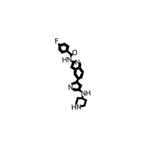 O=C(Nc1cc2cc(-c3cncc(NC4CCNCC4)c3)ccc2cn1)c1ccc(F)cc1